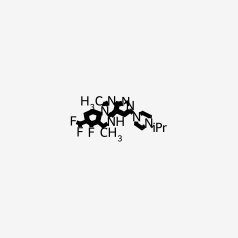 Cc1nc(N[C@H](C)c2cccc(C(F)F)c2F)c2cc(N3CCN(C(C)C)CC3)nnc2n1